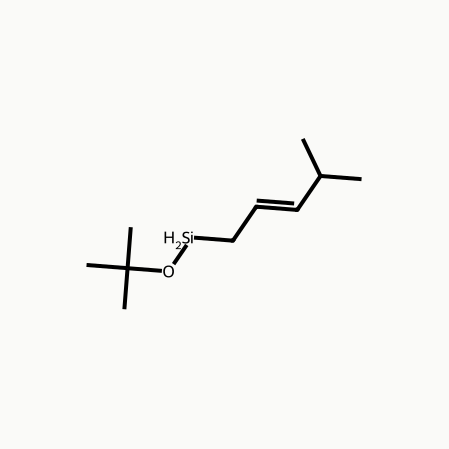 CC(C)C=CC[SiH2]OC(C)(C)C